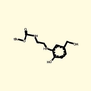 CC(C)(C)OC(=O)NCCNc1cc(CO)ccc1O